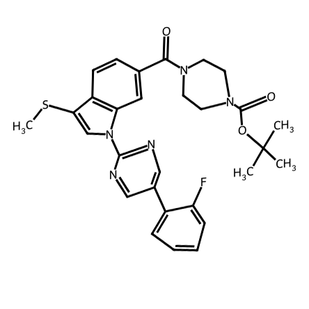 CSc1cn(-c2ncc(-c3ccccc3F)cn2)c2cc(C(=O)N3CCN(C(=O)OC(C)(C)C)CC3)ccc12